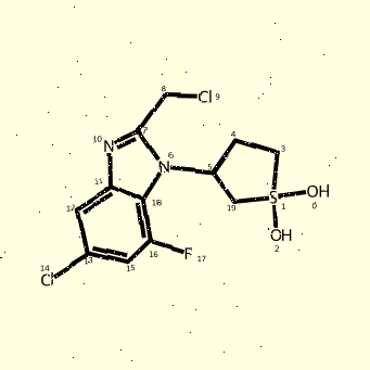 OS1(O)CCC(n2c(CCl)nc3cc(Cl)cc(F)c32)C1